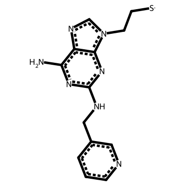 Nc1nc(NCc2cccnc2)nc2c1ncn2CC[S]